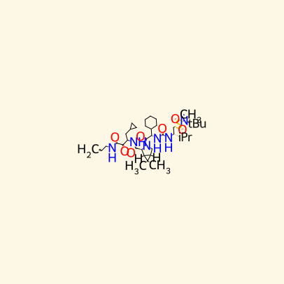 C=CCNC(=O)C(=O)C(CC1CC1)NC(=O)[C@@H]1[C@@H]2[C@H](CN1C(=O)[C@@H](NC(=O)N[C@H](CS(=O)(=O)N(C)C(C)(C)C)C(C)C)C1CCCCC1)C2(C)C